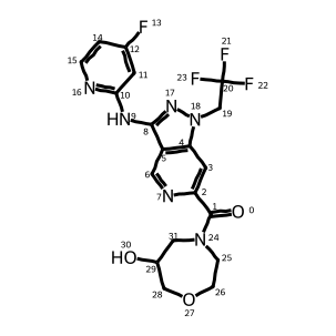 O=C(c1cc2c(cn1)c(Nc1cc(F)ccn1)nn2CC(F)(F)F)N1CCOCC(O)C1